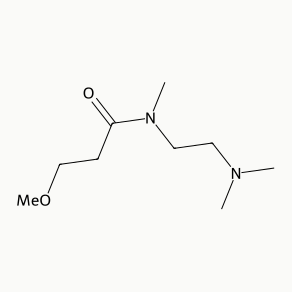 COCCC(=O)N(C)CCN(C)C